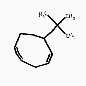 CC(C)(C)C1C=CCC=CCC1